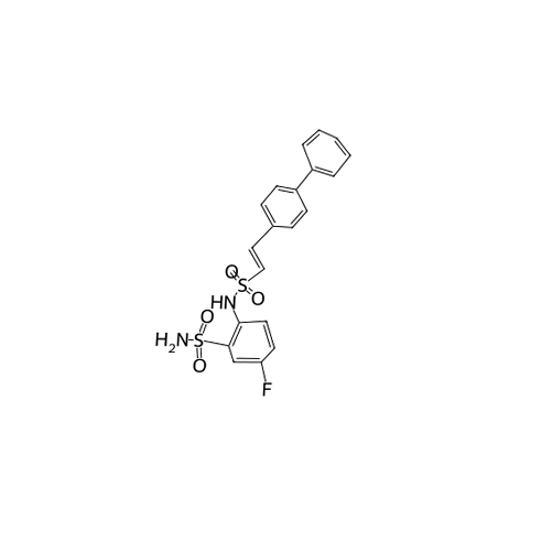 NS(=O)(=O)c1cc(F)ccc1NS(=O)(=O)/C=C/c1ccc(-c2ccccc2)cc1